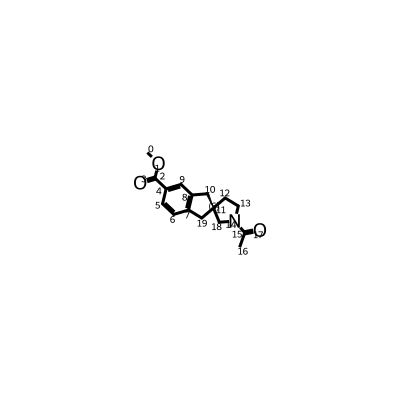 COC(=O)c1ccc2c(c1)C[C@]1(CCN(C(C)=O)C1)C2